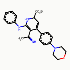 CCOC(=O)C1C=C(c2ccc(N3CCOCC3)cc2)C(C(C)=N)=C(Nc2ccccc2)N1